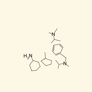 CC(C)N(C)C.CC(C)N(C)Cc1ccccc1.C[C]1CCCC1.NC1CCCCC1